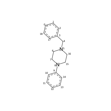 [c]1ccc(CN2CCN(c3ccccc3)CC2)cc1